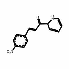 O=C(C=Cc1ccc([N+](=O)[O-])cc1)C1C=CC=CN1